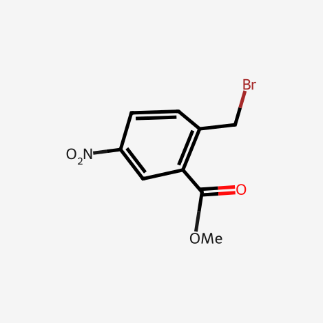 COC(=O)c1cc([N+](=O)[O-])ccc1CBr